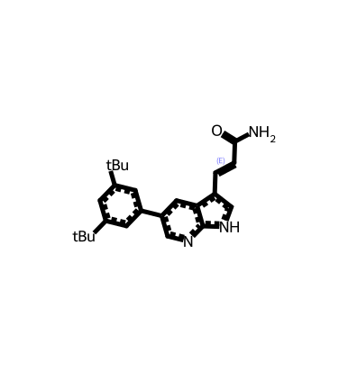 CC(C)(C)c1cc(-c2cnc3[nH]cc(/C=C/C(N)=O)c3c2)cc(C(C)(C)C)c1